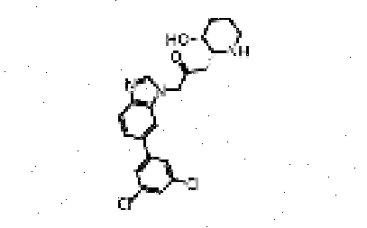 O=C(C[C@H]1NCCC[C@@H]1O)Cn1cnc2ccc(-c3cc(Cl)cc(Cl)c3)cc21